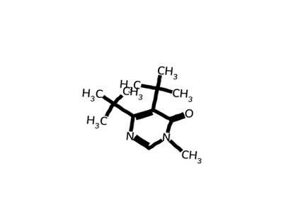 Cn1cnc(C(C)(C)C)c(C(C)(C)C)c1=O